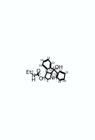 CCNC(=O)O[C@H]1CNC(C(O)(c2ccccc2)c2ccccc2)C1